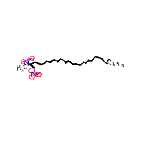 CCCCCCCCCCCCCCCCCCCCCC(C)(CO[N+](=O)[O-])[N+](=O)[O-]